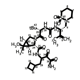 C=C(C)[C@@H](CN1CCCCS1(=O)=O)NC(=O)N[C@H](C(=O)N1C[C@H]2[C@@H]([C@H]1C(=O)NC(CC1CCC1)C(=O)C(N)=O)C2(C)C)C(C)(C)C